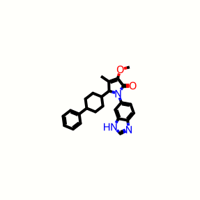 COC1=C(C)C(C2CCC(c3ccccc3)CC2)N(c2ccc3nc[nH]c3c2)C1=O